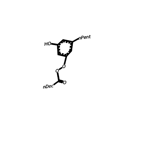 CCCCCCCCCCC(=O)OOc1cc(O)cc(CCCCC)c1